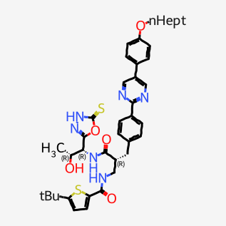 CCCCCCCOc1ccc(-c2cnc(-c3ccc(C[C@H](CNC(=O)c4ccc(C(C)(C)C)s4)C(=O)N[C@@H](c4n[nH]c(=S)o4)[C@@H](C)O)cc3)nc2)cc1